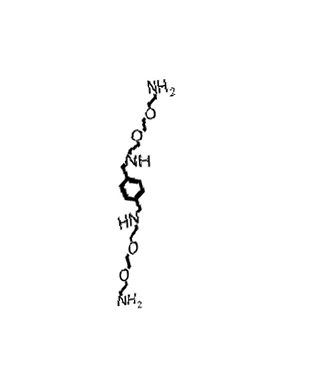 NCCOCCOCCNCc1ccc(CNCCOCCOCCN)cc1